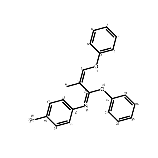 CC(=COc1ccccc1)C(=Nc1ccc(C(C)C)cc1)Oc1ccccc1